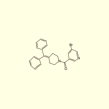 O=C(c1cncc(Br)c1)N1CCC(=C(c2ccccc2)c2ccccc2)CC1